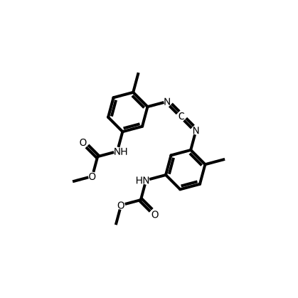 COC(=O)Nc1ccc(C)c(N=C=Nc2cc(NC(=O)OC)ccc2C)c1